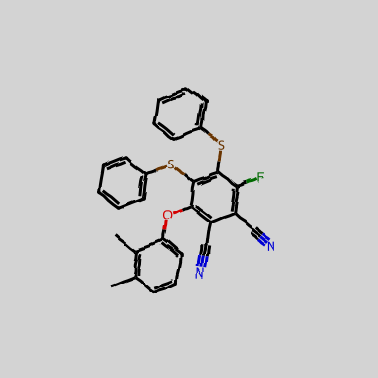 Cc1cccc(Oc2c(C#N)c(C#N)c(F)c(Sc3ccccc3)c2Sc2ccccc2)c1C